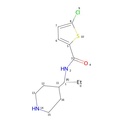 CC[C@@H](NC(=O)c1ccc(Cl)s1)C1CCNCC1